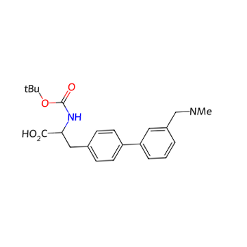 CNCc1cccc(-c2ccc(CC(NC(=O)OC(C)(C)C)C(=O)O)cc2)c1